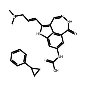 CN(C)CC=Cc1[nH]c2cc(NC(=O)O)cc3c2c1C=NNC3=O.c1ccc(C2CC2)cc1